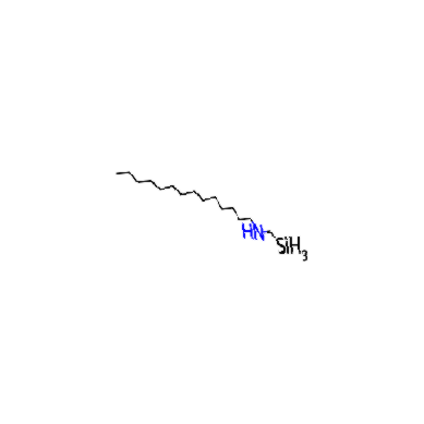 CCCCCCCCCCCCCCNC[SiH3]